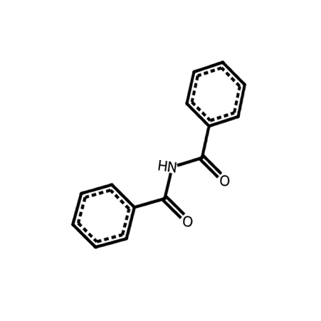 O=C(NC(=O)c1ccccc1)c1ccccc1